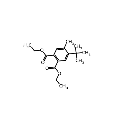 CCOC(=O)c1cc(C)c(C(C)(C)C)cc1C(=O)OCC